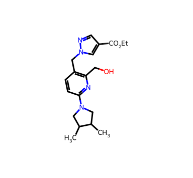 CCOC(=O)c1cnn(Cc2ccc(N3CC(C)C(C)C3)nc2CO)c1